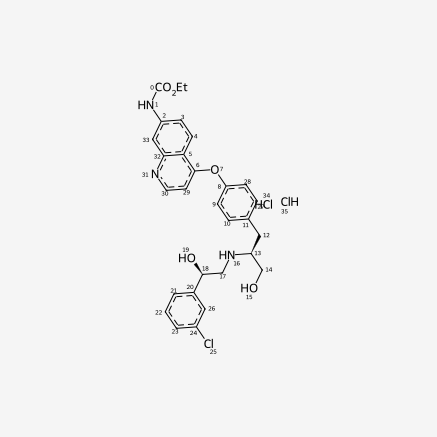 CCOC(=O)Nc1ccc2c(Oc3ccc(C[C@@H](CO)NC[C@H](O)c4cccc(Cl)c4)cc3)ccnc2c1.Cl.Cl